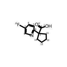 O=C(O)C1(c2ccc(F)cn2)CCCC1